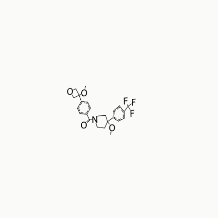 COC1(c2ccc(C(F)(F)F)cc2)CCN(C(=O)c2ccc(C3(OC)COC3)cc2)CC1